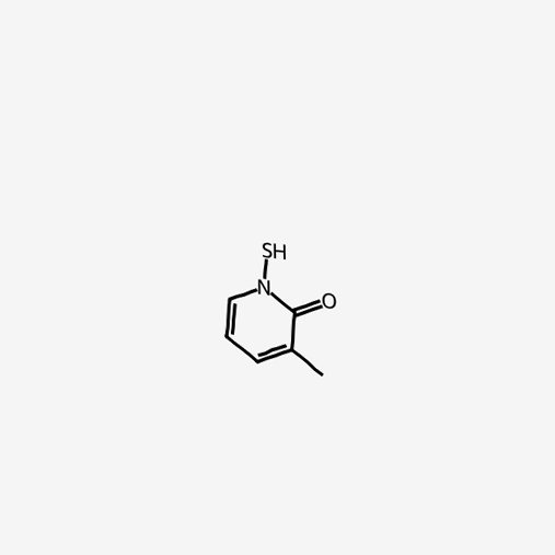 Cc1cccn(S)c1=O